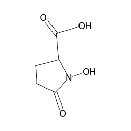 O=C(O)C1CCC(=O)N1O